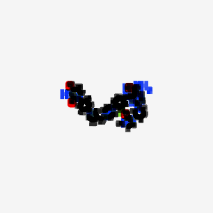 CN1CCN([C@@H]2CCCN(c3nnc(C(N)=O)c(Nc4ccc(N5CCN(CC6CCN(c7ccc(N8CCC(=O)NC8=O)cc7)C6)CC5)c(F)c4)n3)C2)C1=O